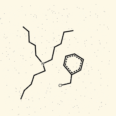 CCCCCN(CCCCC)CCCCC.ClCc1ccccc1